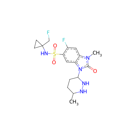 CC1CCC(n2c(=O)n(C)c3cc(F)c(S(=O)(=O)NC4(CF)CC4)cc32)NN1